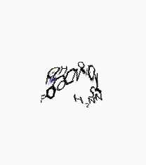 Nc1ncc(CN2CCC[C@@H](CC(=O)N3CCC4(CC3)C/C(=N\O)c3cc(F)ccc3O4)C2)s1